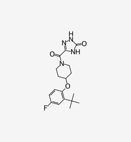 CC(C)(C)c1cc(F)ccc1OC1CCN(C(=O)c2n[nH]c(=O)[nH]2)CC1